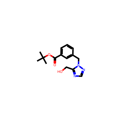 CC(C)(C)OC(=O)c1cccc(Cn2ncnc2CO)c1